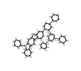 c1ccc(-c2ccc(-c3ccc4c(c3)oc3cc5c(cc34)c3ccccc3n5-c3ccccc3)c(-c3nc(-c4ccccc4)nc(-c4ccccc4)n3)c2)cc1